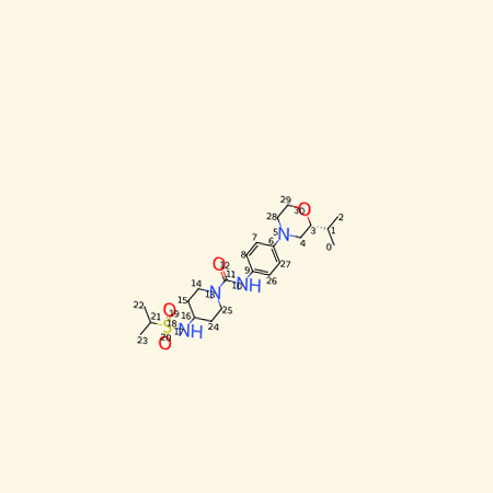 CC(C)[C@@H]1CN(c2ccc(NC(=O)N3CCC(NS(=O)(=O)C(C)C)CC3)cc2)CCO1